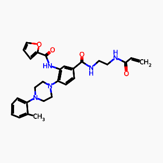 C=CC(=O)NCCNC(=O)c1ccc(N2CCN(c3ccccc3C)CC2)c(NC(=O)c2ccco2)c1